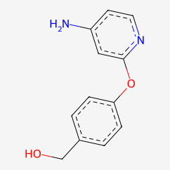 Nc1ccnc(Oc2ccc(CO)cc2)c1